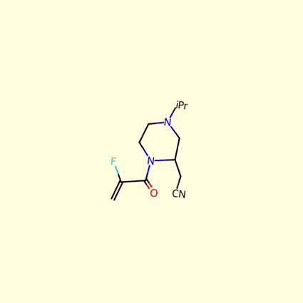 C=C(F)C(=O)N1CCN(C(C)C)CC1CC#N